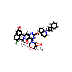 C#Cc1c(F)ccc2cc(O)cc(-c3nc(OC)c4c(N5CCOC[C@@](C)(O)C5)nc(OC[C@]56CCC[C@H]5N(C5CC7(CCCCC7)C5)CCC6)nc4c3F)c12